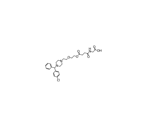 O=C(O)CNC(=O)CCC(=O)OCCOCCN1CCN(C(c2ccccc2)c2ccc(Cl)cc2)CC1